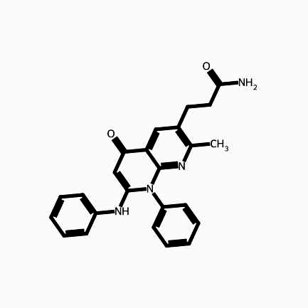 Cc1nc2c(cc1CCC(N)=O)c(=O)cc(Nc1ccccc1)n2-c1ccccc1